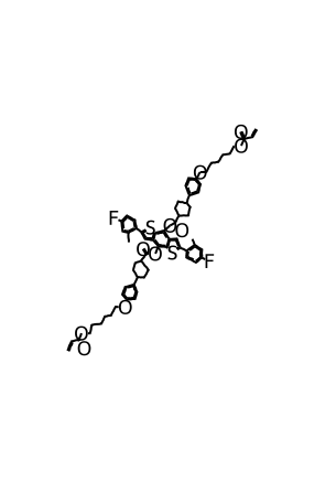 C=CC(=O)OCCCCCCOc1ccc(C2CCC(C(=O)Oc3c4cc(-c5ccc(F)cc5C)sc4c(OC(=O)C4CCC(c5ccc(OCCCCCCOC(=O)C=C)cc5)CC4)c4cc(-c5ccc(F)cc5C)sc34)CC2)cc1